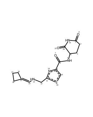 O=C1CCC(NC(=O)c2csc(CNC=C3CCC3)n2)C(=O)N1